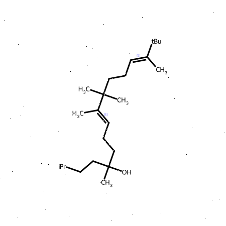 C/C(=C\CCC(C)(C)/C(C)=C/CCC(C)(O)CCC(C)C)C(C)(C)C